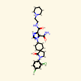 NC(=O)c1c(C(=O)NCCN2CCCCC2)ncn1C1CCC2(CC1)CCN(c1ccc(F)cc1Cl)C2=O